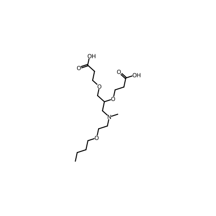 CCCCOCCN(C)CC(COCCC(=O)O)OCCC(=O)O